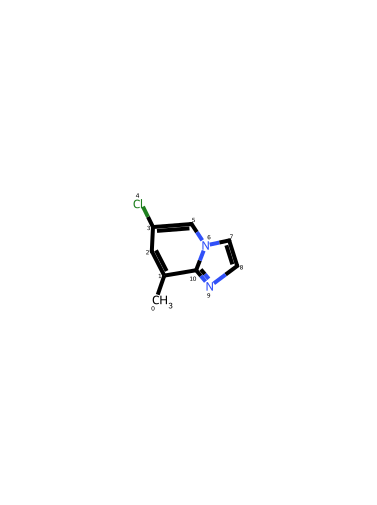 Cc1cc(Cl)cn2ccnc12